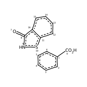 O=C(O)c1ccccc1.O=c1[nH]sc2ccccc12